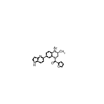 CC(=O)N1c2ccc(-c3ccc4[nH]ccc4n3)cc2N(C(=O)c2ccco2)C[C@@H]1C